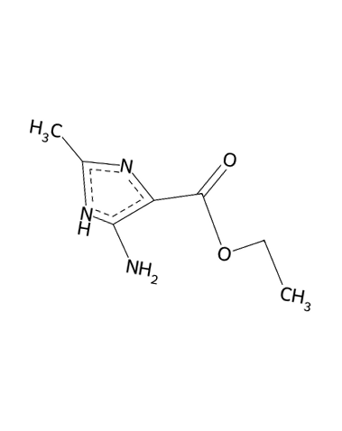 CCOC(=O)c1nc(C)[nH]c1N